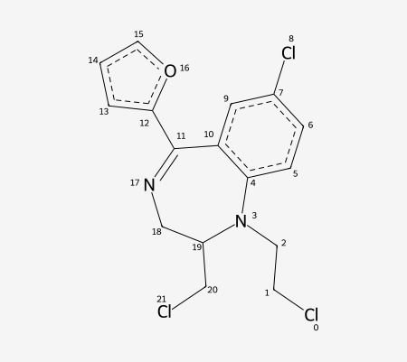 ClCCN1c2ccc(Cl)cc2C(c2ccco2)=NCC1CCl